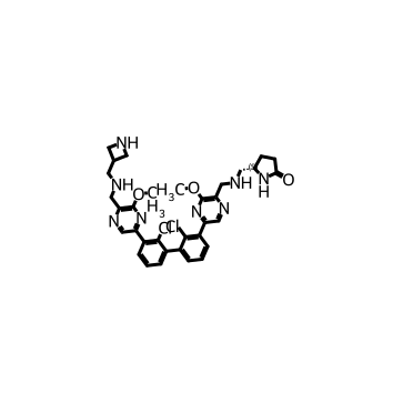 COc1nc(-c2cccc(-c3cccc(-c4cnc(CNC[C@@H]5CCC(=O)N5)c(OC)n4)c3Cl)c2Cl)cnc1CNCC1CNC1